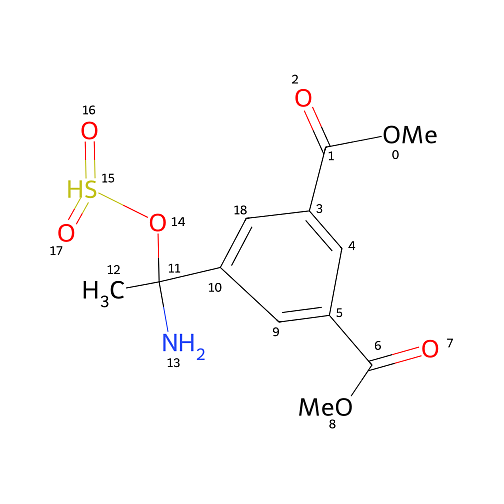 COC(=O)c1cc(C(=O)OC)cc(C(C)(N)O[SH](=O)=O)c1